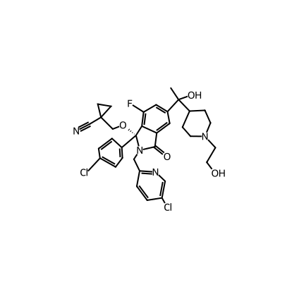 CC(O)(c1cc(F)c2c(c1)C(=O)N(Cc1ccc(Cl)cn1)[C@@]2(OCC1(C#N)CC1)c1ccc(Cl)cc1)C1CCN(CCO)CC1